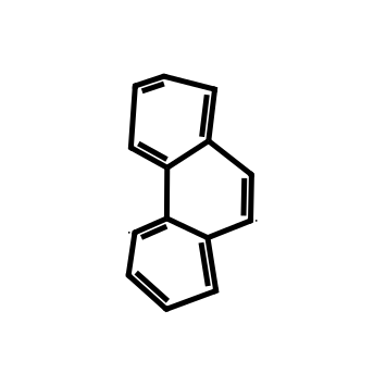 [c]1cc2ccccc2c2[c]cccc12